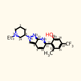 CCN1CCC[C@@H](n2cc3ccc(-c4c(C)cc(C(F)(F)F)cc4O)nc3n2)C1